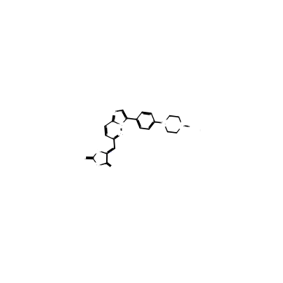 CN1CCN(c2ccc(-c3cnc4ccc(/C=C5\SC(=S)NC5=O)nn34)cc2)CC1